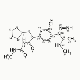 CNC(=O)NC(=O)C(CC1CCCC1)c1ccc(N(N=N)C(C)NC)c(Cl)c1